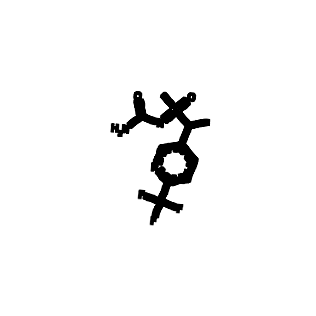 CC(c1ccc(C(F)(F)F)nc1)S(C)(=O)=NC(N)=O